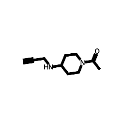 C#CCNC1CCN(C(C)=O)CC1